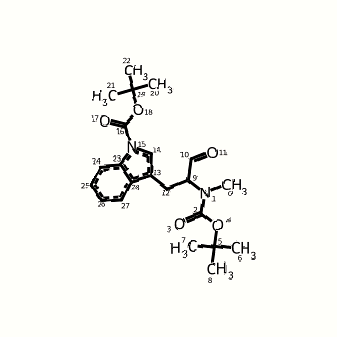 CN(C(=O)OC(C)(C)C)C(C=O)Cc1cn(C(=O)OC(C)(C)C)c2ccccc12